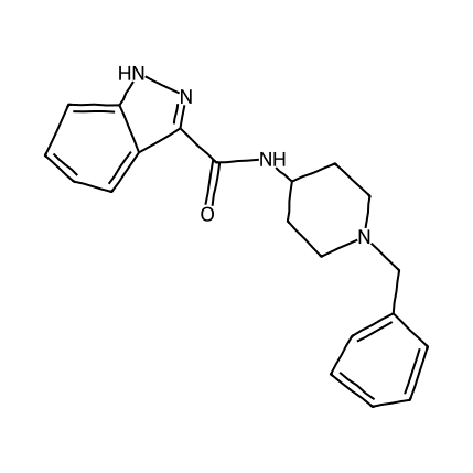 O=C(NC1CCN(Cc2ccccc2)CC1)c1n[nH]c2ccccc12